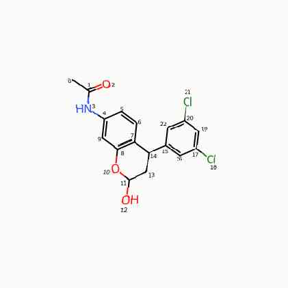 CC(=O)Nc1ccc2c(c1)OC(O)CC2c1cc(Cl)cc(Cl)c1